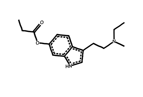 CCC(=O)Oc1ccc2c(CCN(C)CC)c[nH]c2c1